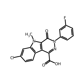 Cn1c2cc(Cl)ccc2c2c(C(=O)O)nn(-c3cccc(F)c3)c(=O)c21